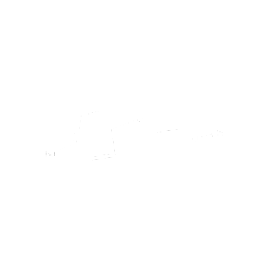 CCCOCCOc1ccc(C(C)(C)C)cc1